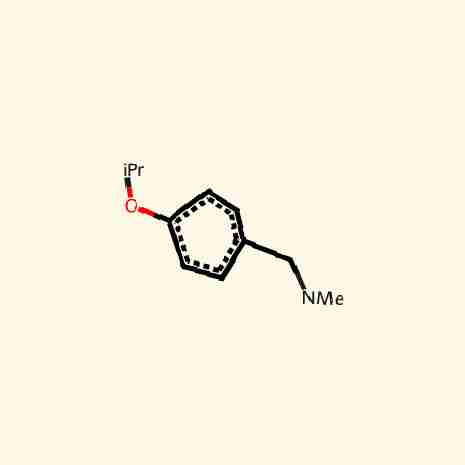 [CH2]NCc1ccc(OC(C)C)cc1